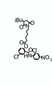 CCC(C)C1CC(=O)N(CCCCCC(=O)Oc2ccc(Cl)cc2C(=O)Nc2ccc([N+](=O)[O-])cc2Cl)C1=O